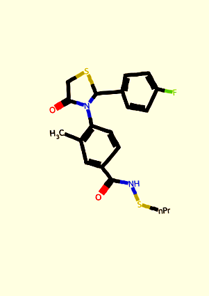 CCCSNC(=O)c1ccc(N2C(=O)CSC2c2ccc(F)cc2)c(C)c1